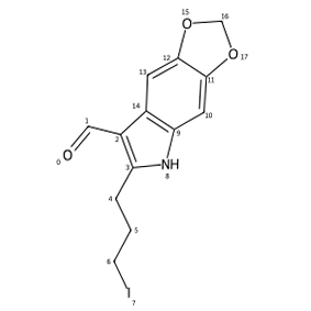 O=Cc1c(CCCI)[nH]c2cc3c(cc12)OCO3